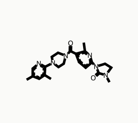 Cc1cnc(N2CCN(C(=O)c3ccc(N4CCN(C)C4=O)nc3C)CC2)c(C)c1